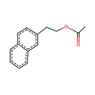 CC(=O)OCCc1ccc2cc[c]cc2c1